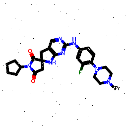 CC(C)N1CCN(c2ccc(Nc3ncc4c(n3)NC3(CC(=O)N(C5CCCC5)C3=O)C4)cc2F)CC1